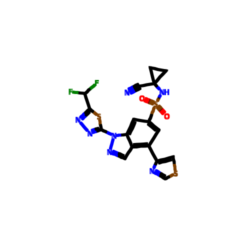 N#CC1(NS(=O)(=O)c2cc(-c3cscn3)c3cnn(-c4nnc(C(F)F)s4)c3c2)CC1